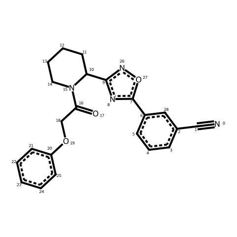 N#Cc1cccc(-c2nc(C3CCCCN3C(=O)COc3ccccc3)no2)c1